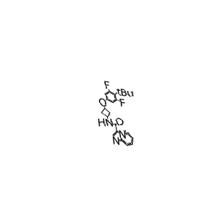 CC(C)(C)c1c(F)cc(OC2CC(NC(=O)c3cnc4ccccn34)C2)cc1F